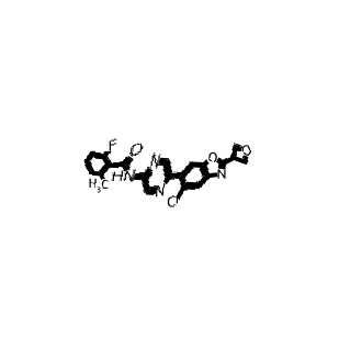 Cc1cccc(F)c1C(=O)Nc1cnc(-c2cc3oc(C4COC4)nc3cc2Cl)cn1